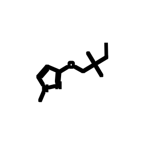 CCC(C)(C)COc1ccn(C)n1